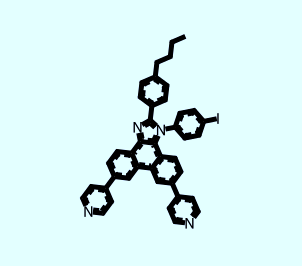 CCCCc1ccc(-c2nc3c4ccc(-c5ccncc5)cc4c4cc(-c5ccncc5)ccc4c3n2-c2ccc(I)cc2)cc1